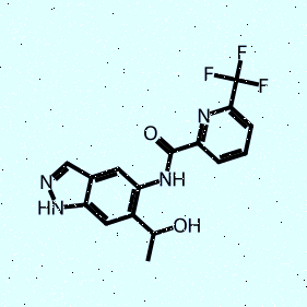 CC(O)c1cc2[nH]ncc2cc1NC(=O)c1cccc(C(F)(F)F)n1